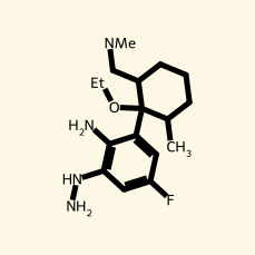 CCOC1(c2cc(F)cc(NN)c2N)C(C)CCCC1CNC